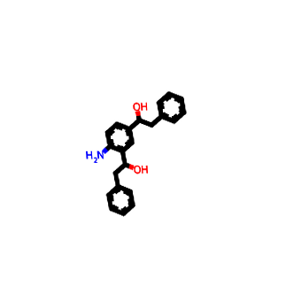 Nc1ccc(C(O)Cc2ccccc2)cc1C(O)Cc1ccccc1